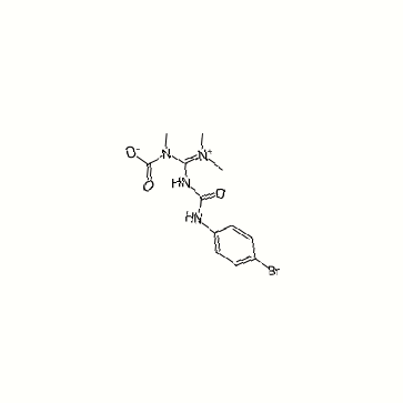 CN(C(=O)[O-])C(NC(=O)Nc1ccc(Br)cc1)=[N+](C)C